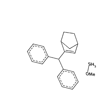 C1=C(C(c2ccccc2)c2ccccc2)C2CCC1C2.CO[SiH3]